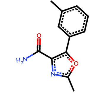 Cc1cccc(-c2oc(C)nc2C(N)=O)c1